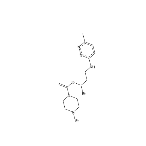 C=C(OC(CC)CCNc1ccc(C)nn1)N1CCN(C(C)C)CC1